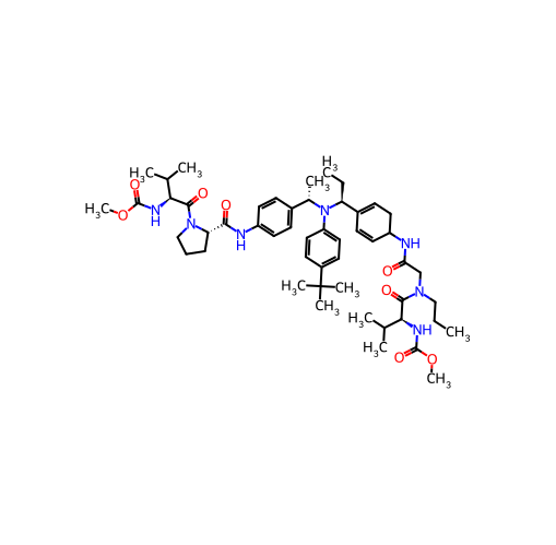 CCCN(CC(=O)NC1C=CC([C@H](CC)N(c2ccc(C(C)(C)C)cc2)[C@@H](C)c2ccc(NC(=O)[C@@H]3CCCN3C(=O)[C@@H](NC(=O)OC)C(C)C)cc2)=CC1)C(=O)[C@@H](NC(=O)OC)C(C)C